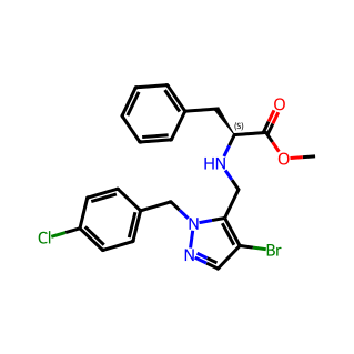 COC(=O)[C@H](Cc1ccccc1)NCc1c(Br)cnn1Cc1ccc(Cl)cc1